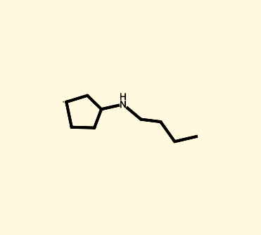 CCCCNC1C[CH]CC1